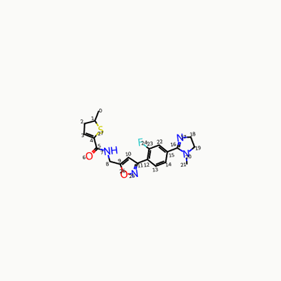 CC1CC=C(C(=O)NCc2cc(-c3ccc(C4=NCCN4C)cc3F)no2)S1